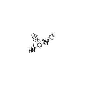 Cc1n[nH]cc1-c1ccc(-c2cnc(N3CC4(CCN(C)CC4)C3)nn2)c(OC(=O)C(F)(F)F)c1